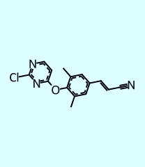 Cc1cc(C=CC#N)cc(C)c1Oc1ccnc(Cl)n1